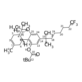 CC1=CC[C@@H]2[C@@H](C1)c1c(OC(=O)C(C)(C)C)cc(C(C)(C)CCCCCC(F)(F)F)cc1OC2(C)C